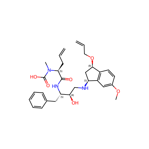 C=CCO[C@@H]1C[C@H](NC[C@@H](O)[C@H](Cc2ccccc2)NC(=O)[C@H](CC=C)N(C)C(=O)O)c2cc(OC)ccc21